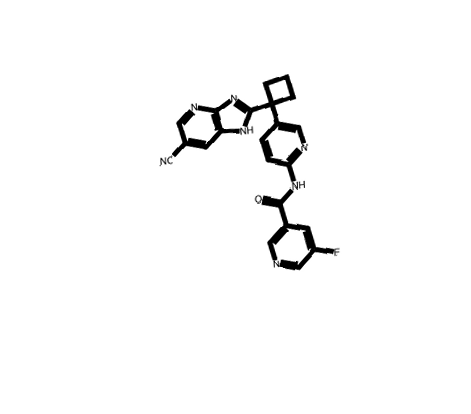 N#Cc1cnc2nc(C3(c4ccc(NC(=O)c5cncc(F)c5)nc4)CCC3)[nH]c2c1